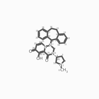 CN1CC[C@@H](N2CN(C3c4ccccc4CCc4ccccc43)n3ccc(=O)c(O)c3C2=O)C1